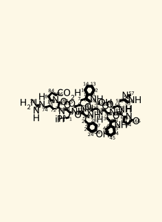 CC(C)C[C@H](NC(=O)[C@@H](Cc1c[nH]c2ccccc12)NC(=O)[C@H](Cc1ccc(O)cc1)NC(=O)[C@H](CO)NC(=O)[C@H](Cc1c[nH]c2ccccc12)NC(=O)[C@H](Cc1c[nH]cn1)NC(=O)[C@@H]1CCC(=O)N1)C(=O)N[C@@H](CCCNC(=N)N)C(=O)N1CCC[C@H]1C(=O)O